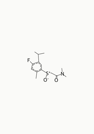 Cc1cc(F)c(C(C)C)cc1[S+]([O-])CC(=O)N(C)C